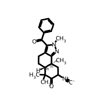 [C-]#[N+]C1C[C@]2(C)c3nn(C)c(C(=O)c4ccccc4)c3CC[C@H]2C(C)(C)C1=O